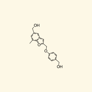 Cc1cc(CO)cc2cc(COc3ccc(CO)cc3)oc12